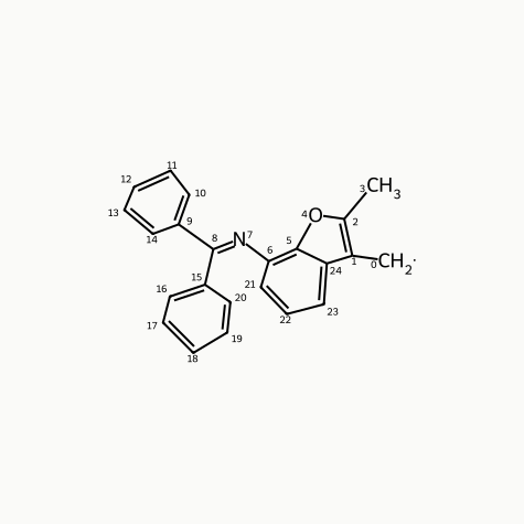 [CH2]c1c(C)oc2c(N=C(c3ccccc3)c3ccccc3)cccc12